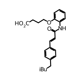 CCC(C)Cc1ccc(C=CC(=O)Nc2ccccc2OCCCC(=O)O)cc1